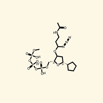 COP(=O)(O)OP(=O)(O)OP(=O)(O)OC[C@H]1O[C@@H](C2CCCC2)CC1OC(CCNC(C)=O)N=[N+]=[N-]